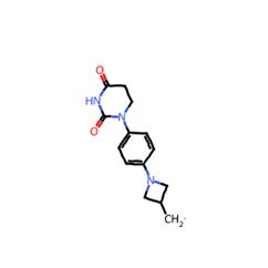 [CH2]C1CN(c2ccc(N3CCC(=O)NC3=O)cc2)C1